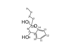 CCCCC1(O)CC(O)c2ccccc2O1